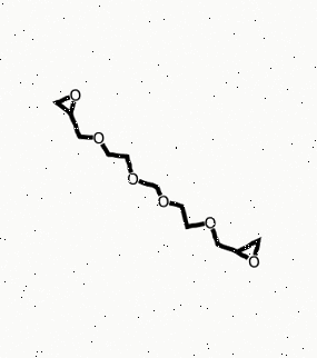 C(COCC1CO1)OCOCCOCC1CO1